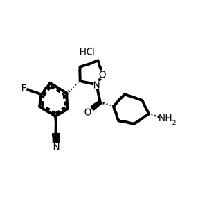 Cl.N#Cc1cc(F)cc([C@@H]2CCON2C(=O)[C@H]2CC[C@@H](N)CC2)c1